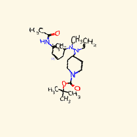 C=CN(C1CCN(C(=O)OC(C)(C)C)CC1)N(C)C(C)C/C=C\C(=C)NC(C)=O